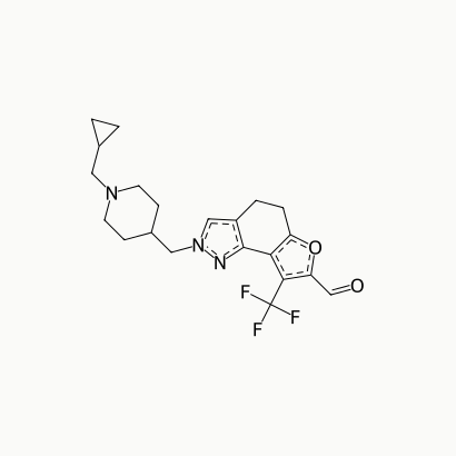 O=Cc1oc2c(c1C(F)(F)F)-c1nn(CC3CCN(CC4CC4)CC3)cc1CC2